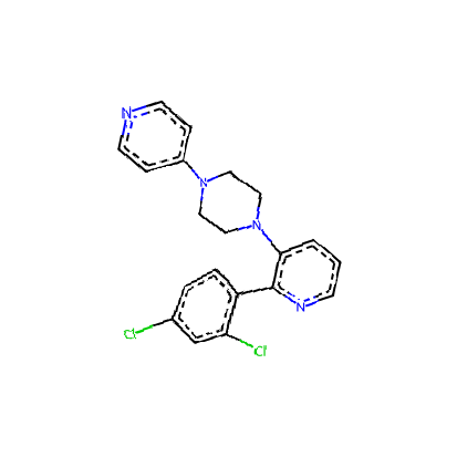 Clc1ccc(-c2ncccc2N2CCN(c3ccncc3)CC2)c(Cl)c1